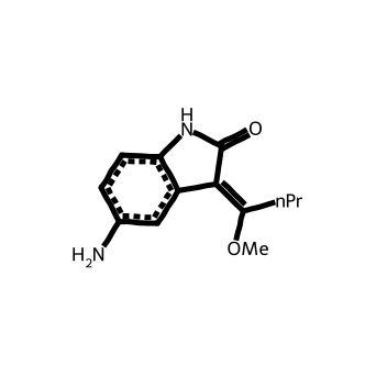 CCCC(OC)=C1C(=O)Nc2ccc(N)cc21